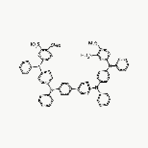 CSc1ccc(N(c2ccccc2)c2ccc(N(c3ccccc3)c3ccc(-c4ccc(N(c5ccccc5)c5ccc(N(c6ccccc6)c6ccc(SC)c(S(=O)(=O)O)c6)cc5)cc4)cc3)cc2)cc1S(=O)(=O)O